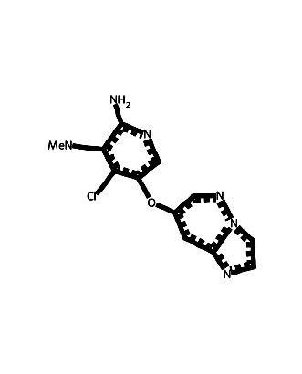 CNc1c(N)ncc(Oc2cnn3ccnc3c2)c1Cl